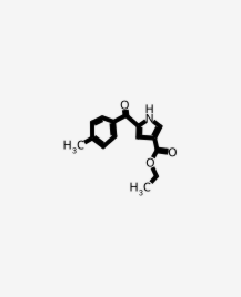 CCOC(=O)c1c[nH]c(C(=O)c2ccc(C)cc2)c1